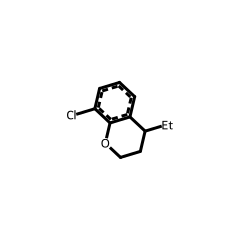 CCC1CCOc2c(Cl)cccc21